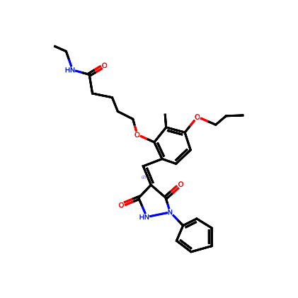 CCCOc1ccc(/C=C2/C(=O)NN(c3ccccc3)C2=O)c(OCCCCC(=O)NCC)c1C